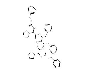 O=C(NC(C(=O)N[C@@H](Cc1ccccc1)C(O)[C@H](Cc1ccccc1)NC(=O)C(NC(=O)OCc1ccccc1)C1CCCC1)C1CCCC1)OCc1ccccc1